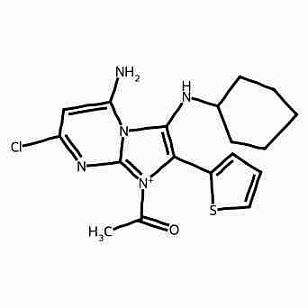 CC(=O)[n+]1c(-c2cccs2)c(NC2CCCCC2)n2c(N)cc(Cl)nc21